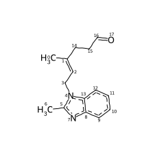 C/C(=C\Cn1c(C)nc2ccccc21)CCC=O